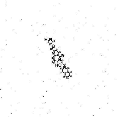 CC1(C)CN(CC(O)CN2CCc3ccccc3C2)C(=O)C2C=CC(COCCN)=NC2O1